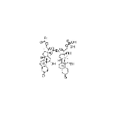 CCC(=O)OCC(=O)[C@@]1(OC(=O)CC)[C@@H](C)C[C@H]2[C@@H]3CCC4=CC(=O)C=C[C@]4(C)[C@@]3(F)[C@@H](O)C[C@@]21C.C[C@H]1C[C@H]2[C@@H]3CCC4=CC(=O)C=C[C@]4(C)[C@@]3(F)[C@@H](O)C[C@]2(C)[C@@]1(O)C(=O)COP(=O)(O)O